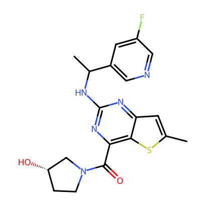 Cc1cc2nc(NC(C)c3cncc(F)c3)nc(C(=O)N3CC[C@H](O)C3)c2s1